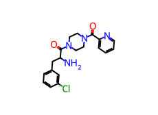 NC(Cc1cccc(Cl)c1)C(=O)N1CCN(C(=O)c2ccccn2)CC1